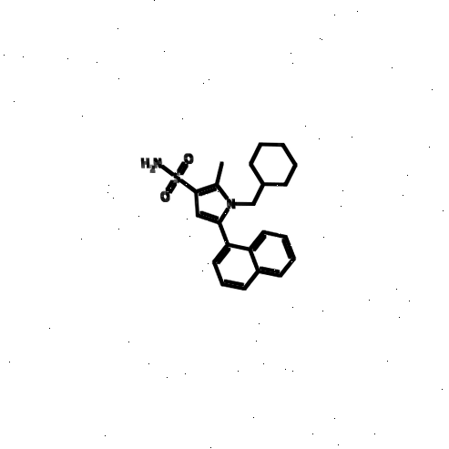 Cc1c(S(N)(=O)=O)cc(-c2cccc3ccccc23)n1CC1CCCCC1